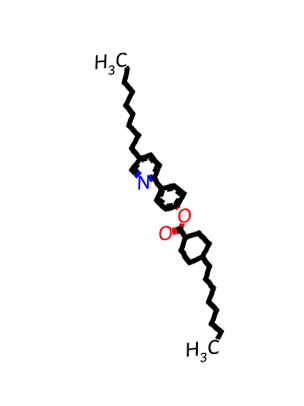 CCCCCCCCCc1ccc(-c2ccc(OC(=O)C3CCC(CCCCCCCC)CC3)cc2)nc1